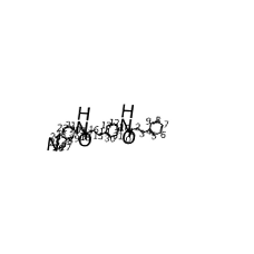 O=C(CCc1ccccc1)Nc1ccc(CCC(=O)Nc2ccc3cnccc3c2)cc1